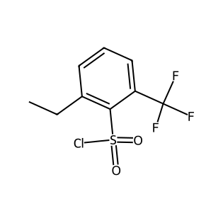 CCc1cccc(C(F)(F)F)c1S(=O)(=O)Cl